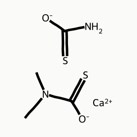 CN(C)C([O-])=S.NC([O-])=S.[Ca+2]